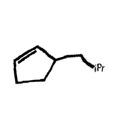 CC(C)C[C]1C=CCC1